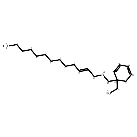 CCCCCCCCCCC=CCOCC1(CO)C=CC=CC1